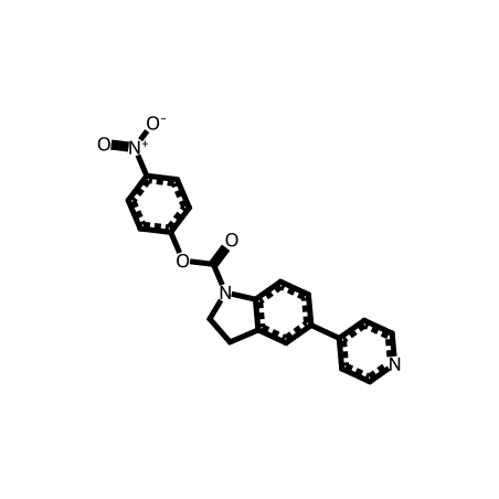 O=C(Oc1ccc([N+](=O)[O-])cc1)N1CCc2cc(-c3ccncc3)ccc21